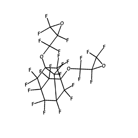 FC1(F)OC1(F)C(F)(F)OC12C(F)(F)C3(F)C(F)(F)C(F)(C1(F)F)C(F)(F)C(OC(F)(F)C1(F)OC1(F)F)(C3(F)F)C2(F)F